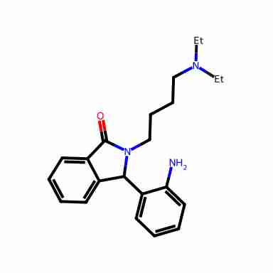 CCN(CC)CCCCN1C(=O)c2ccccc2C1c1ccccc1N